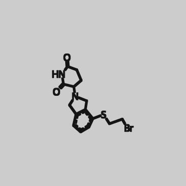 O=C1CCC(N2Cc3cccc(SCCBr)c3C2)C(=O)N1